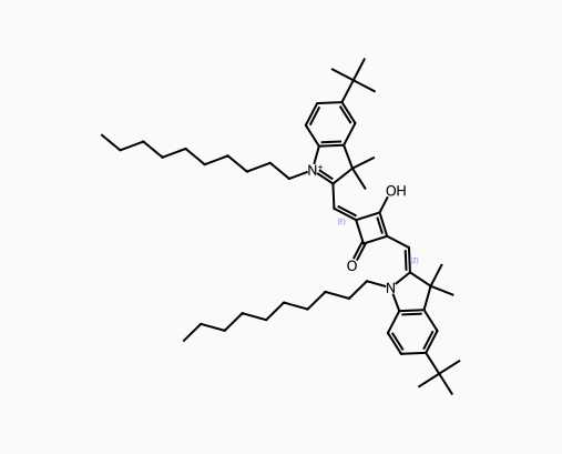 CCCCCCCCCCN1/C(=C\C2=C(O)C(=C\C3=[N+](CCCCCCCCCC)c4ccc(C(C)(C)C)cc4C3(C)C)/C2=O)C(C)(C)c2cc(C(C)(C)C)ccc21